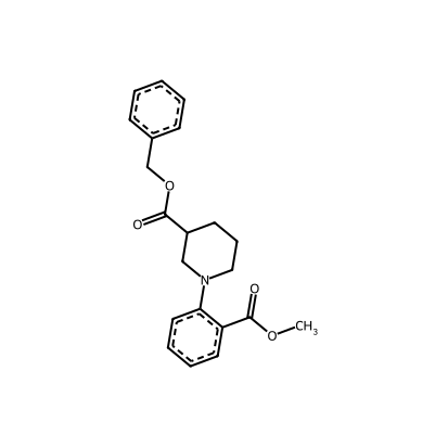 COC(=O)c1ccccc1N1CCCC(C(=O)OCc2ccccc2)C1